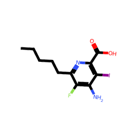 CCCCCc1nc(C(=O)O)c(I)c(N)c1F